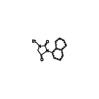 CCN1CC(=O)N(c2cccc3ccccc23)C1=O